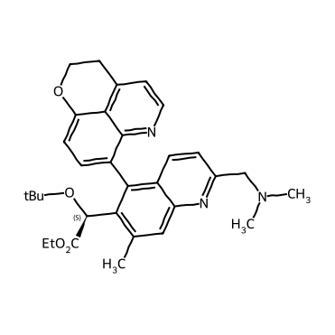 CCOC(=O)[C@@H](OC(C)(C)C)c1c(C)cc2nc(CN(C)C)ccc2c1-c1ccc2c3c(ccnc13)CCO2